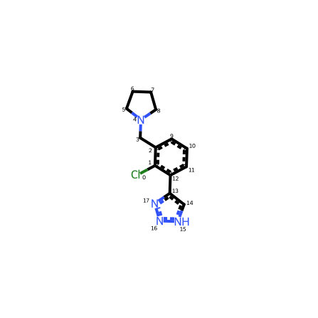 Clc1c(CN2CCCC2)cccc1-c1c[nH]nn1